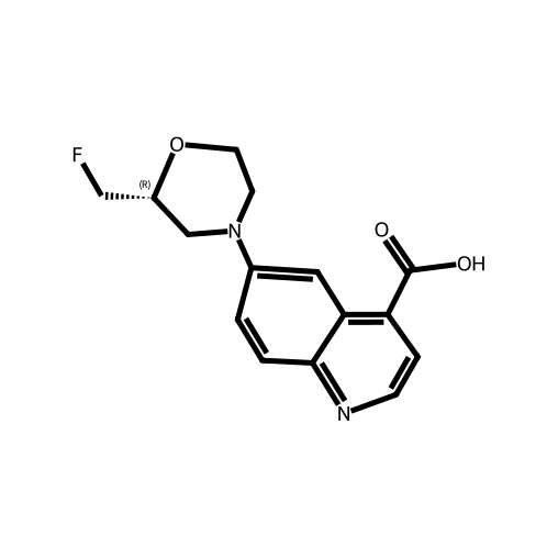 O=C(O)c1ccnc2ccc(N3CCO[C@@H](CF)C3)cc12